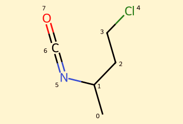 CC(CCCl)N=C=O